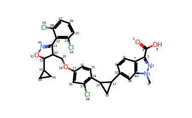 Cn1nc(C(=O)O)c2ccc(C3CC3c3ccc(OCC4C(c5c(Cl)cccc5Cl)=NOC4C4CC4)cc3Cl)cc21